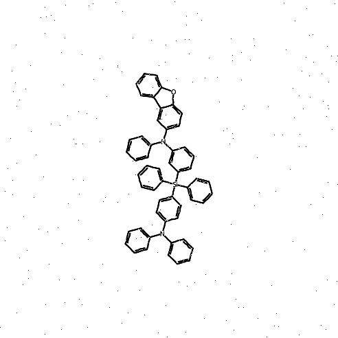 c1ccc(N(c2ccccc2)c2ccc([Si](c3ccccc3)(c3ccccc3)c3cccc(N(c4ccccc4)c4ccc5oc6ccccc6c5c4)c3)cc2)cc1